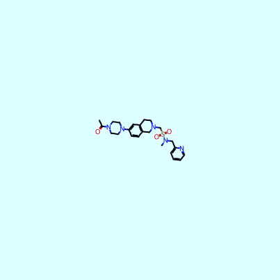 CC(=O)N1CCN(c2ccc3c(c2)CCN(CS(=O)(=O)N(C)Cc2ccccn2)C3)CC1